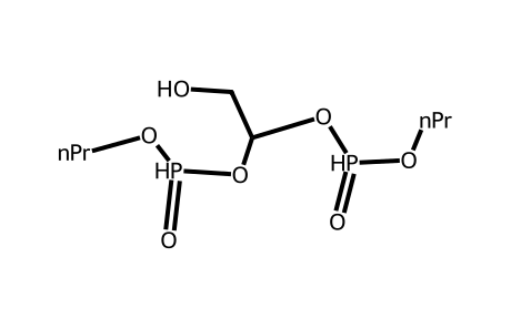 CCCO[PH](=O)OC(CO)O[PH](=O)OCCC